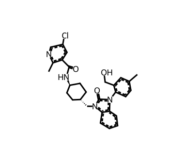 Cc1ccc(-n2c(=O)n(C[C@H]3CC[C@H](NC(=O)c4cc(Cl)cnc4C)CC3)c3ccccc32)c(CO)c1